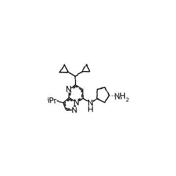 CC(C)c1cnn2c(N[C@H]3CC[C@H](N)C3)cc(C(C3CC3)C3CC3)nc12